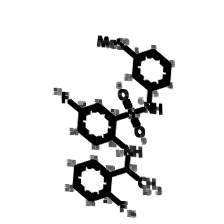 CSc1cccc(NS(=O)(=O)c2cc(F)ccc2NC(C)c2ccccc2F)c1